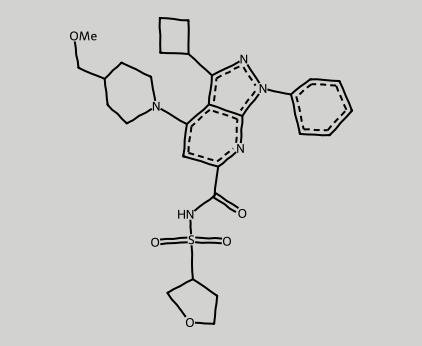 COCC1CCN(c2cc(C(=O)NS(=O)(=O)C3CCOC3)nc3c2c(C2CCC2)nn3-c2ccccc2)CC1